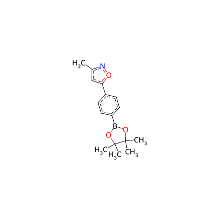 Cc1cc(-c2ccc(B3OC(C)(C)C(C)(C)O3)cc2)on1